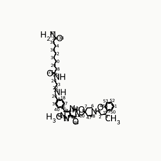 CC(CC(=O)N1CCC(O)(Cn2cnc3c(-c4ccc(CNCCCNC(=O)CCCCCCCCC(N)=O)cc4)n(C)nc3c2=O)CC1)c1ccccc1